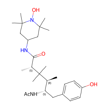 CC(=O)N[C@@H](Cc1ccc(O)cc1)[C@H](C)C(C)(C)[C@H](C)C(=O)NC1CC(C)(C)N(O)C(C)(C)C1